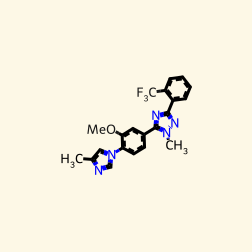 COc1cc(-c2nc(-c3ccccc3C(F)(F)F)nn2C)ccc1-n1cnc(C)c1